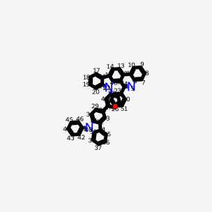 c1ccc(-c2nc3ccccc3c3ccc4c5ccccc5n(-c5cccc(-c6ccc7c(c6)c6ccccc6n7-c6ccccc6)c5)c4c23)cc1